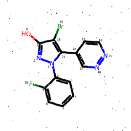 Oc1nn(-c2ccccc2F)c(-c2ccnnc2)c1Br